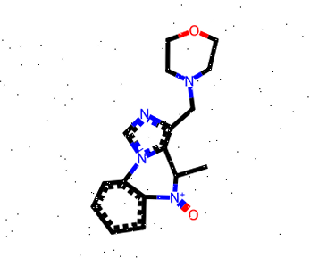 CC1c2c(CN3CCOCC3)ncn2-c2ccccc2[N+]1=O